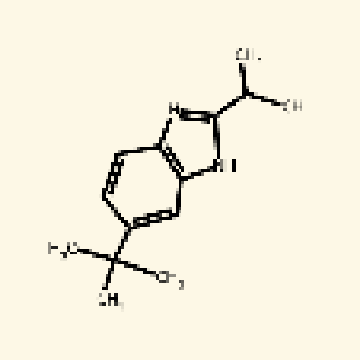 CC(C)c1nc2ccc(C(C)(C)C)cc2[nH]1